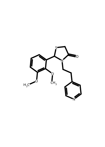 COc1cccc(C2SCC(=O)N2CCc2ccncc2)c1OC